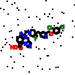 CCn1cncc1Cn1c(CN2CCC(CF)(Cc3ccnc(COc4ccc(Cl)cc4Cl)c3)CC2)nc2ccc(C(=O)O)cc21